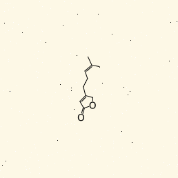 CC(C)=CCCC1=CC(=O)OC1